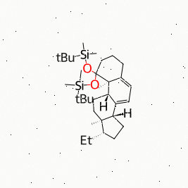 CC[C@H]1CC[C@H]2C3=CC=C4CCCC(O[Si](C)(C)C(C)(C)C)(O[Si](C)(C)C(C)(C)C)[C@]4(C)[C@H]3CC[C@]12C